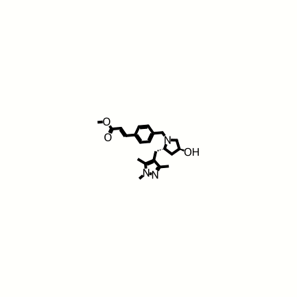 COC(=O)/C=C/c1ccc(CN2C[C@@H](O)C[C@@H]2Cc2c(C)nn(C)c2C)cc1